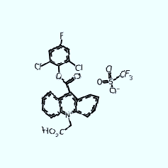 O=C(O)C[n+]1c2ccccc2c(C(=O)Oc2c(Cl)cc(F)cc2Cl)c2ccccc21.O=S(=O)([O-])C(F)(F)F